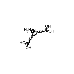 Nc1cnc2c(c1)N(CCOCCCN(CCO)CCO)CCN2CCOCCCN(CCO)CCO